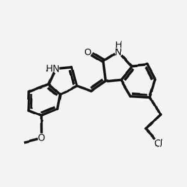 COc1ccc2[nH]cc(C=C3C(=O)Nc4ccc(CCCl)cc43)c2c1